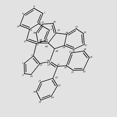 C1=CC(c2ccc3ccccc3c2)=[C]([Zr](=[C](c2ccccc2)c2ccccc2)[CH]2c3ccccc3-c3ccccc32)C1